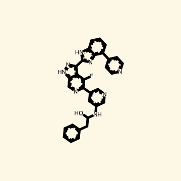 OC(Cc1ccccc1)Nc1cncc(-c2ncc3[nH]nc(-c4nc5c(-c6ccncc6)cccc5[nH]4)c3c2F)c1